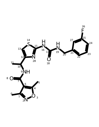 Cc1noc(C)c1C(=O)NC(C)c1csc(NC(=O)NCc2cccc(F)c2)n1